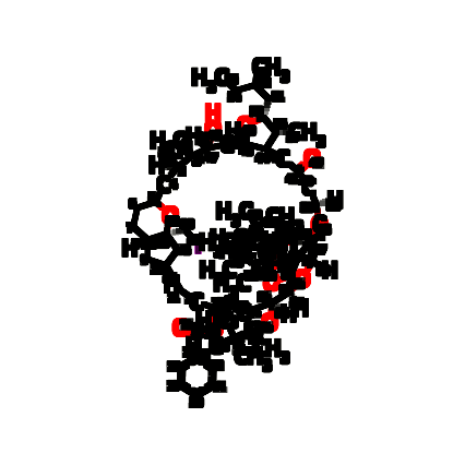 C=C1[C@H](C)CC2CC[C@@H]3C[C@@H](CCC(OC(=O)c4ccccc4)/C=C/[C@H](O[Si](C)(C)C(C)(C)C)[C@@H]4O[C@H]5CC[C@H](CC(=O)CC6[C@H](C[C@H]1O)O[C@H](C[C@H](C)CC)[C@@H]6C)O[C@@H]5[C@H](O[Si](C)(C)C(C)(C)C)[C@@H]4O[Si](C)(C)C(C)(C)C)C[C@]3(CI)O2